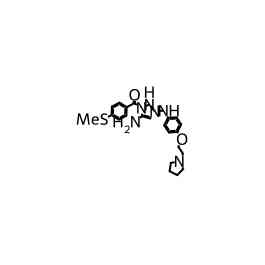 CSc1ccc(C(=O)N2NN(Nc3ccc(OCCN4CCCC4)cc3)C=C2N)cc1